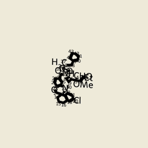 CC/C=C/[C@](C=O)(OC)[C@@H]1CC[C@H]1CN1C[C@@]2(CCCc3cc(Cl)ccc32)COc2ccc(C(=O)NS(=O)(=O)[C@@H](C)Cc3ccccc3)cc21